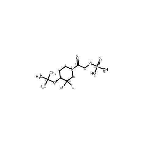 CC(C)(C)O[C@H]1CCN(C(=O)COP(=O)(O)O)CC1(F)F